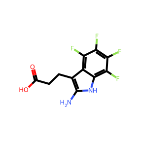 Nc1[nH]c2c(F)c(F)c(F)c(F)c2c1CCC(=O)O